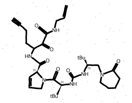 C#CCCC(NC(=O)[C@@H]1C=CCN1C(=O)[C@@H](NC(=O)N[C@H](CN1CCCCC1=O)C(C)(C)C)C(C)(C)C)C(=O)C(=O)NCC=C